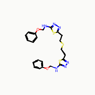 c1ccc(OCNc2nnc(CCSCCc3nnc(NCOc4ccccc4)s3)s2)cc1